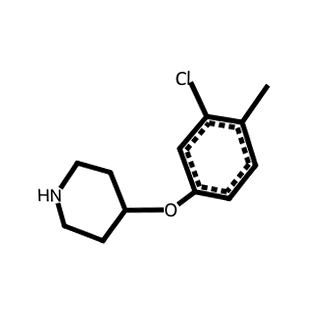 Cc1ccc(OC2CCNCC2)cc1Cl